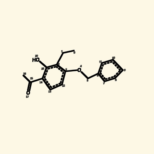 CCc1c(OCc2[c]cccc2)ccc(C(C)=O)c1O